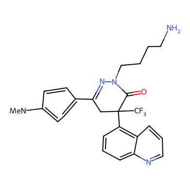 CNc1ccc(C2=NN(CCCCN)C(=O)C(c3cccc4ncccc34)(C(F)(F)F)C2)cc1